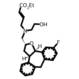 CCOC(=O)/C=C/CN(CCO)C[C@H]1C[C@@H]2c3ccccc3Cc3ccc(F)cc3[C@@H]2O1